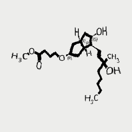 CCCCCC(C)(O)C=C[C@H]1[C@@H]2C[C@H](OCCCC(=O)OC)C[C@H]2C[C@@H]1O